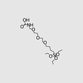 CCO[Si](CCCCOCCOCCOCNC(=O)O)(OCC)OCC